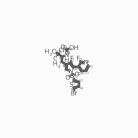 CC(C)(C)C(Cc1cn(S(=O)(=O)c2ccc(Br)s2)c(-c2cccnc2F)c1F)NC(=O)O